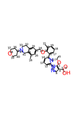 CCOc1c(C(=O)O)cnn1-c1cccc(-c2cccc(C)c2OCc2cc(C)c3c(c2)CCN(C2CCOCC2)C3)n1